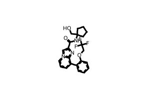 O=C(NC1(CO)CCCC1)c1cn2cccc(-c3ccccc3OCC(F)(F)F)c2n1